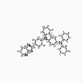 c1ccc(N(c2ccccc2)c2ccc3c(c2)c2ccccc2n3-c2ccc(-c3nc4cccnc4s3)cc2)cc1